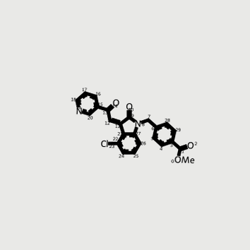 COC(=O)c1ccc(CN2C(=O)C(=CC(=O)c3cccnc3)c3c(Cl)cccc32)cc1